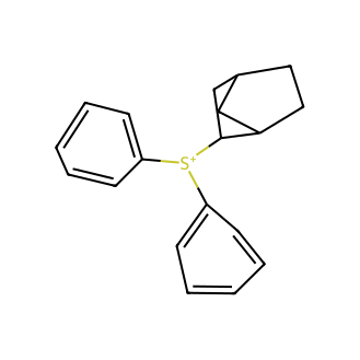 c1ccc([S+](c2ccccc2)C2CC3CCC2C3)cc1